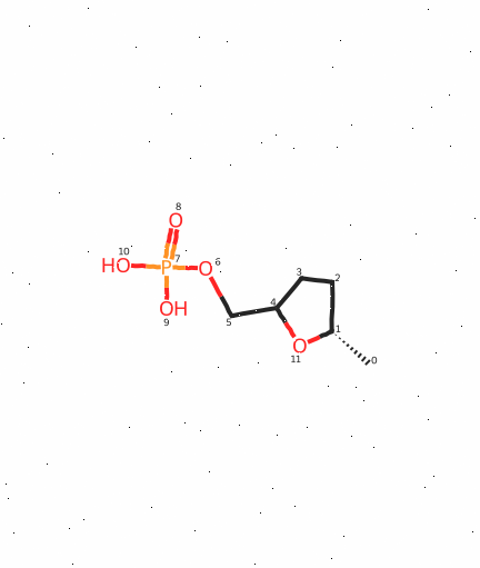 C[C@H]1CCC(COP(=O)(O)O)O1